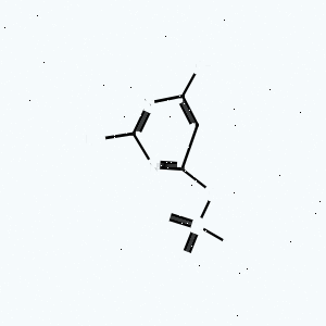 Cc1cc(OS(=O)(=O)C(F)(F)F)nc(C)n1